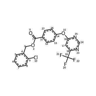 O=C(OCc1ccccc1Cl)c1ccc(Oc2cc(C(F)(F)F)ncn2)cc1